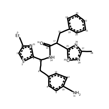 CCc1csc(C(Cc2ccc(N)cc2)NC(=O)C(Cc2ccccc2)c2nc(C)no2)n1